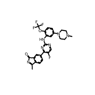 CC1=NC(=O)c2cc(-c3nc(Nc4cc(N5CCN(C)CC5)ccc4OC(F)(F)F)ncc3F)ccc21